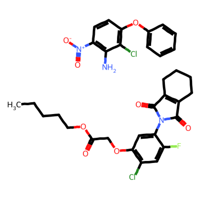 CCCCCOC(=O)COc1cc(N2C(=O)C3=C(CCCC3)C2=O)c(F)cc1Cl.Nc1c([N+](=O)[O-])ccc(Oc2ccccc2)c1Cl